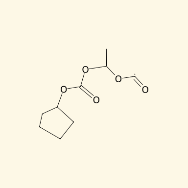 CC(O[C]=O)OC(=O)OC1CCCC1